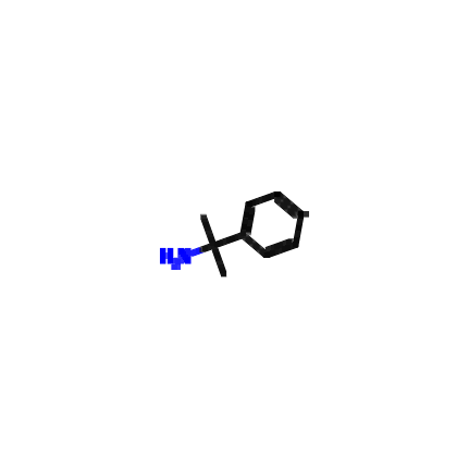 CC(C)(N)c1cc[c]cc1